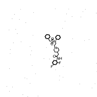 C[C@H](CN(c1ccccc1)S(=O)(=O)Cc1ccccc1)N1CCC(CC(=O)Nc2ccc(F)cc2F)CC1